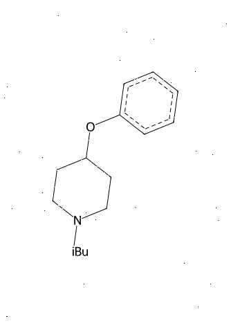 CCC(C)N1CCC(Oc2ccccc2)CC1